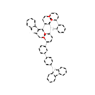 c1ccc(-c2ccccc2N(c2ccc(-c3cccc(-c4ccc(-n5c6ccccc6c6ccccc65)cc4)c3)cc2)c2ccccc2-c2cccc3oc4ccccc4c23)cc1